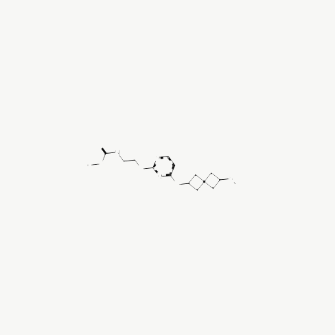 CC(C)(C)OC(=O)NCCOc1nccc(OC2CC3(CC(NC(=O)O)C3)C2)n1